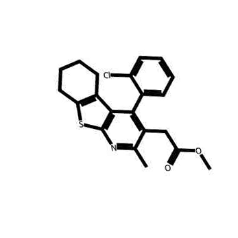 COC(=O)Cc1c(C)nc2sc3c(c2c1-c1ccccc1Cl)CCCC3